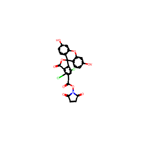 O=C(ON1C(=O)CCC1=O)c1cc(Cl)c2c(c1Cl)C(=O)OC21c2ccc(O)cc2Oc2cc(O)ccc21